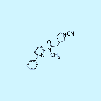 CN(C(=O)C[C@H]1CCN(C#N)C1)c1cccc(-c2ccccc2)n1